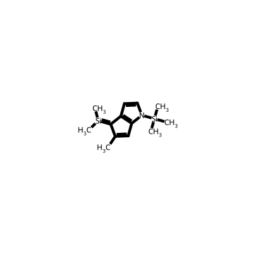 CC1=Cc2c(ccn2[Si](C)(C)C)C1=[Si](C)C